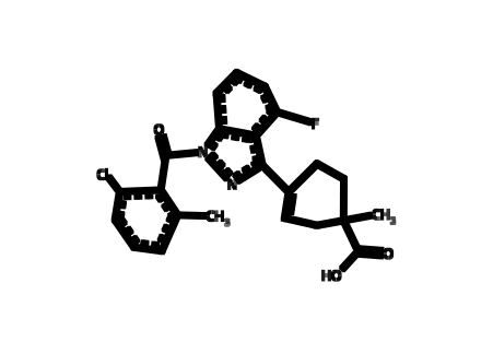 Cc1cccc(Cl)c1C(=O)n1nc(C2=CCC(C)(C(=O)O)CC2)c2c(F)cccc21